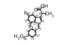 CSc1ccc(/C=C2/C=C(C(C)C(=O)O)c3cc(F)cc(F)c32)cc1